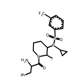 CC(C)CC(N)C(=O)N1CCCC(N(C2CC2)S(=O)(=O)c2cccc(C(F)(F)F)c2)C1I